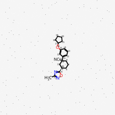 Cc1noc([C@@H]2CCC[C@@](C#N)(c3cccc(OC4CCCC4)c3)C2)n1